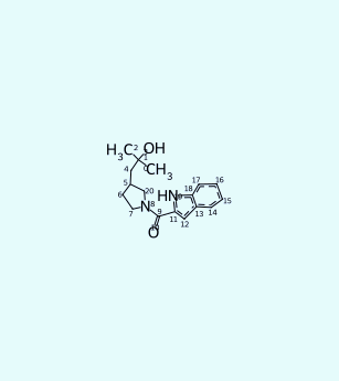 CC(C)(O)CC1CCN(C(=O)c2cc3ccccc3[nH]2)C1